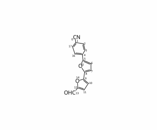 N#Cc1ccc(-c2ccc(-c3ccc(C=O)o3)o2)cc1